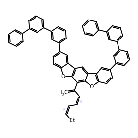 C=C(/C=C\C=C/CC)c1c2oc3ccc(-c4cccc(-c5cccc(-c6ccccc6)c5)c4)cc3c2cc2c1oc1ccc(-c3cccc(-c4cccc(-c5ccccc5)c4)c3)cc12